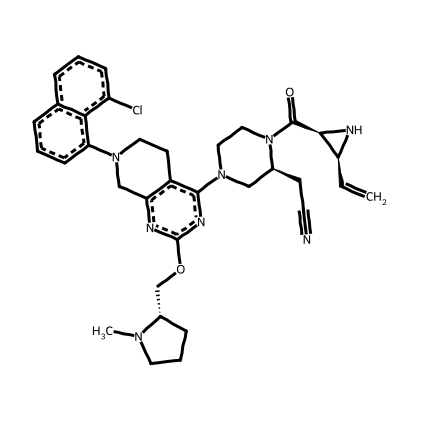 C=C[C@@H]1N[C@@H]1C(=O)N1CCN(c2nc(OC[C@@H]3CCCN3C)nc3c2CCN(c2cccc4cccc(Cl)c24)C3)C[C@@H]1CC#N